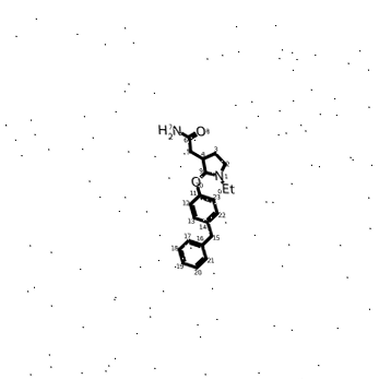 CCN1CCC(CC(N)=O)C1Oc1ccc(Cc2ccccc2)cc1